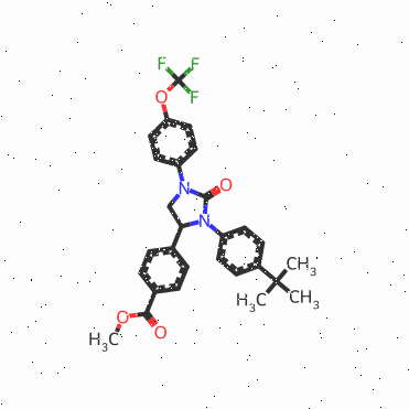 COC(=O)c1ccc(C2CN(c3ccc(OC(F)(F)F)cc3)C(=O)N2c2ccc(C(C)(C)C)cc2)cc1